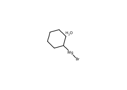 O.[Br][Mg][CH]1CCCCC1